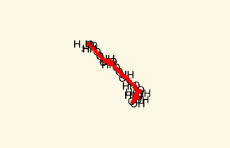 NOCC(=O)NCCOCCOCCNC(=O)c1ccc(C(=O)NCCOCCOCCNC(=O)CCCCCCCNC(=O)CC[C@H](NC(=O)N[C@@H](CCC(=O)O)C(=O)O)C(=O)O)cc1